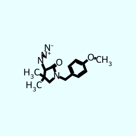 COc1ccc(CN2CC(C)(C)C(N=[N+]=[N-])C2=O)cc1